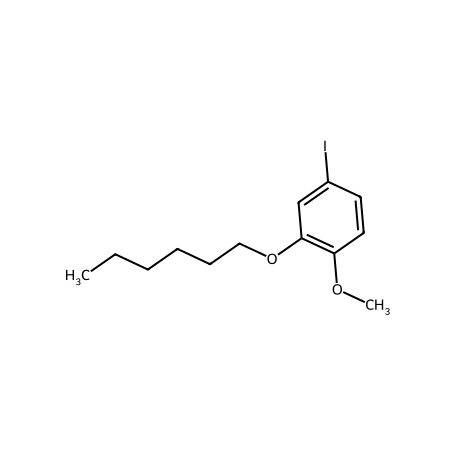 CCCCCCOc1cc(I)ccc1OC